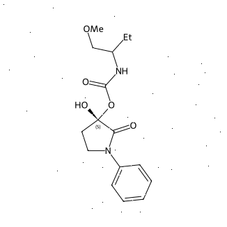 CCC(COC)NC(=O)O[C@@]1(O)CCN(c2ccccc2)C1=O